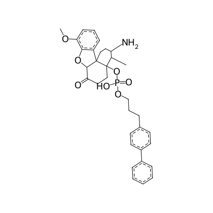 COc1cccc2c1OC1C(=O)CCC3(OP(=O)(O)OCCCc4ccc(-c5ccccc5)cc4)C(C)C(N)CCC213